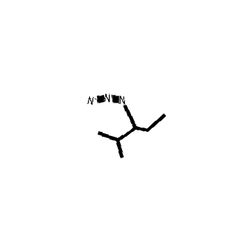 CCC(N=[N+]=[N-])C(C)C